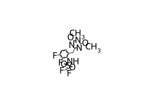 COc1nc(Cc2ccc(F)c(F)c2NS(=O)(=O)C(F)F)nc(OC)n1